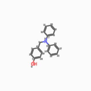 Oc1ccc(CN(c2ccccc2)c2ccccc2)cc1